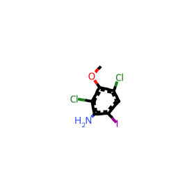 COc1c(Cl)cc(I)c(N)c1Cl